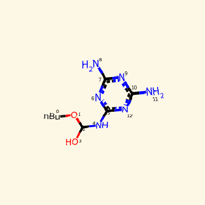 CCCCOC(O)Nc1nc(N)nc(N)n1